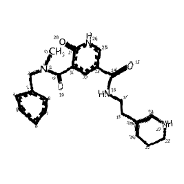 CN(Cc1ccccc1)C(=O)c1cc(C(=O)NCCC2CCCNC2)c[nH]c1=O